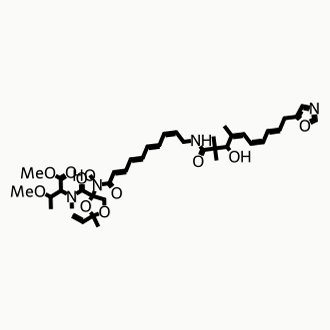 C=CC1(C)OCC(C(=O)N(C)C(C(=O)OC)C(C)OC)(N(O)C(=O)/C=C/C=C/C=C/C=C\CNC(=O)C(C)(C)C(O)\C(C)=C/C=C\C=C\Cc2cnco2)O1